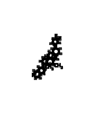 CC1CC2(C)C(c3ccc4ccncc4c3)CC[C@H]2[C@@]23CC[C@]4(C[C@H](N5CCC(F)(F)C5)CCC4=CC12)O3